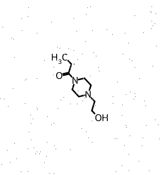 C[CH]C(=O)N1CCN(CCO)CC1